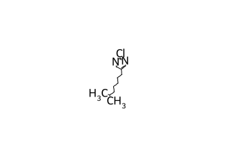 CC(C)CCCCCc1cnc(Cl)nc1